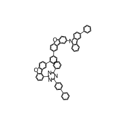 c1ccc(-c2ccc(-c3nc(-c4ccccc4)nc(-c4cccc5oc6ccc(-c7cccc(-c8ccc9oc%10ccc(-n%11c%12ccccc%12c%12cc(-c%13ccccc%13)ccc%12%11)cc%10c9c8)c7)cc6c45)n3)cc2)cc1